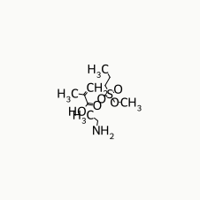 C=C(C)C(=O)O.CCCS(=O)(=O)OC.CCN